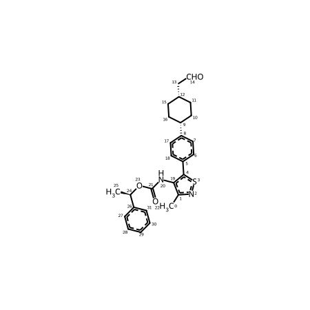 Cc1nsc(-c2ccc([C@H]3CC[C@@H](CC=O)CC3)cc2)c1NC(=O)O[C@H](C)c1ccccc1